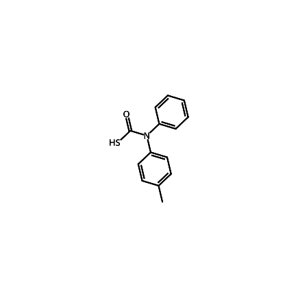 Cc1ccc(N(C(=O)S)c2ccccc2)cc1